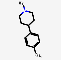 Cc1ccc(C2CCN(C(C)C)CC2)cc1